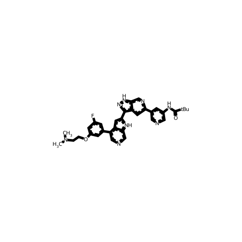 CN(C)CCOc1cc(F)cc(-c2cncc3[nH]c(-c4n[nH]c5cnc(-c6cncc(NC(=O)C(C)(C)C)c6)cc45)cc23)c1